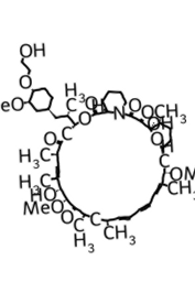 CO[C@H]1C[C@@H]2CC[C@@H](C)[C@@](O)(O2)C(=O)C(=O)N2CCCC[C@H]2C(=O)O[C@H]([C@@H](C)C[C@@H]2CC[C@@H](OCCO)[C@H](OC)C2)CC(=O)[C@H](C)/C=C(\C)[C@@H](O)[C@@H](OC)C(=O)C(C)C[C@H](C)/C=C/C=C/C=C/1C